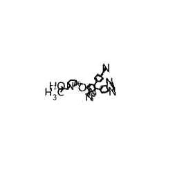 CC(O)CN1CCC[C@@H](COc2cc(-c3ccc(C#N)cc3)c(-c3ccc4nccnc4c3)n3cncc23)C1